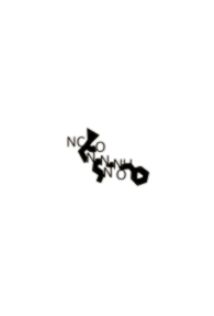 Cc1cc(N2CC[C@@](C#N)(C3CC3)C2=O)nc(NC(=O)Cc2ccccc2)n1